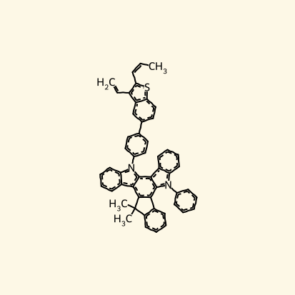 C=Cc1c(/C=C\C)sc2ccc(-c3ccc(-n4c5ccccc5c5c6c(c7c(c8ccccc8n7-c7ccccc7)c54)-c4ccccc4C6(C)C)cc3)cc12